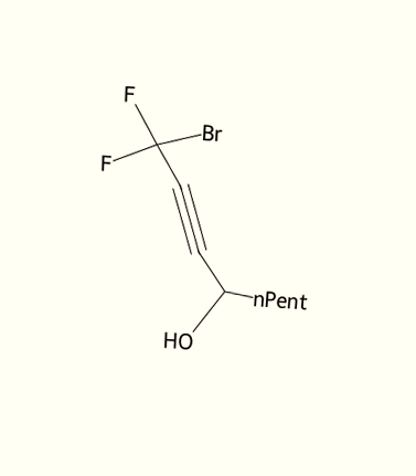 CCCCCC(O)C#CC(F)(F)Br